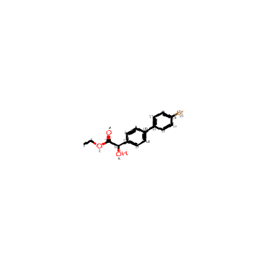 CCOC(=O)C(O)c1ccc(-c2ccc(Br)cc2)cc1